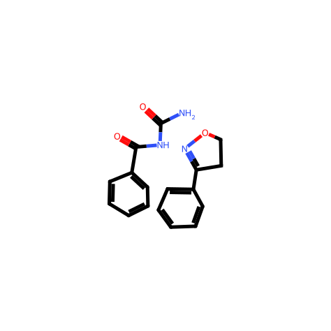 NC(=O)NC(=O)c1ccccc1.c1ccc(C2=NOCC2)cc1